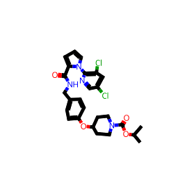 CC(C)OC(=O)N1CCC(Oc2ccc(CNC(=O)c3cccn3-c3ncc(Cl)cc3Cl)cc2)CC1